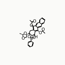 CC(=O)Oc1c2c(c(OC(C)=O)c3cc4ccccc4cc13)[C@H]1CC([C@H]3CO[C@@H](C)O3)(C2)OB(c2ccccc2)O1